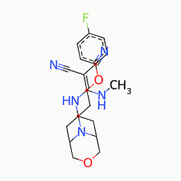 CNC(NC1CC2COCC(C1)N2CCCOc1ccc(F)cc1)=C(C#N)C#N